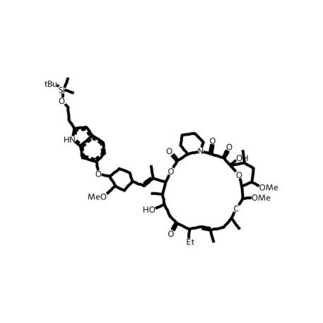 CCC1/C=C(\C)CC(C)CC(OC)C2OC(O)(C(=O)C(=O)N3CCCCC3C(=O)OC(C(C)=CC3CCC(Oc4ccc5cc(CCO[Si](C)(C)C(C)(C)C)[nH]c5c4)C(OC)C3)C(C)C(O)CC1=O)C(C)CC2OC